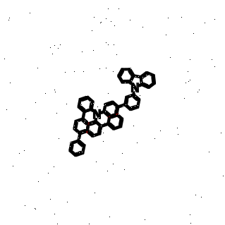 c1ccc(-c2ccc(-c3ccccc3N(c3ccc(-c4cccc(-n5c6ccccc6c6ccccc65)c4)cc3)c3ccccc3-c3ccccc3)cc2)cc1